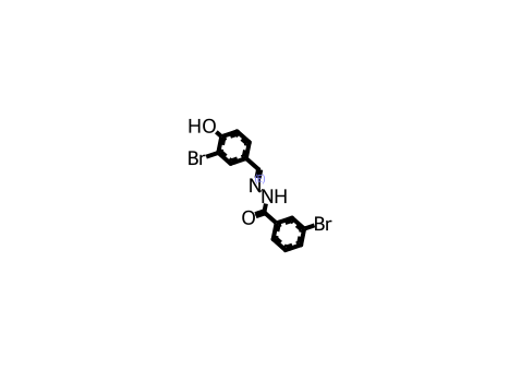 O=C(N/N=C/c1ccc(O)c(Br)c1)c1cccc(Br)c1